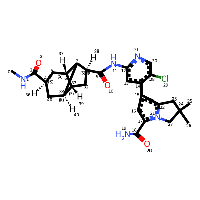 CNC(=O)[C@H]1C[C@@H]2C3[C@@H](C(=O)Nc4cc(-c5cc(C(N)=O)n6c5CC(C)(C)C6)c(Cl)cn4)C[C@@H]2[C@H]3C1